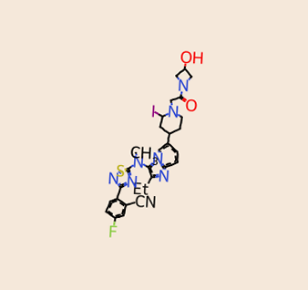 CCc1nc2ccc(C3CCN(CC(=O)N4CC(O)C4)C(I)C3)cn2c1N(C)c1nc(-c2ccc(F)cc2C#N)ns1